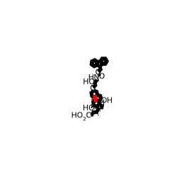 C[C@H](CCC(=O)O)[C@H]1CC[C@H]2[C@@H]3C(O)CC4CC(OCC(O)CNC(=O)OCC5c6ccccc6-c6ccccc65)CC[C@]4(C)[C@H]3C[C@H](O)[C@]12C